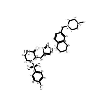 CN1CCN(Cc2ccc3c(c2)CCC[C@@H]3n2cc(C[C@@H]3C(=O)NCCN3S(=O)(=O)c3ccc(Cl)cc3)nn2)CC1